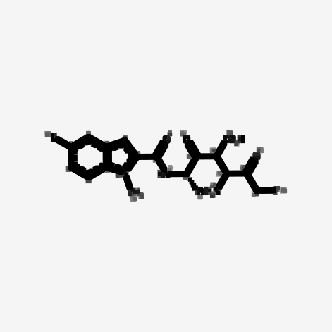 CC(C)[C@H](NC(=O)c1cc2cc(F)ccc2n1C)C(=O)C(C(=O)O)C(N)C(=O)CF